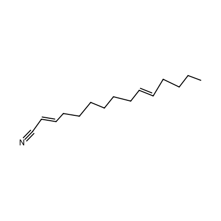 CCCC/C=C/CCCCCC/C=C/C#N